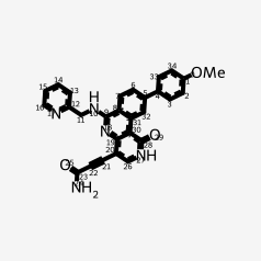 COc1ccc(-c2ccc3c(NCc4ccccn4)nc4c(C#CC(N)=O)c[nH]c(=O)c4c3c2)cc1